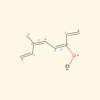 C=C/C(C)=C\C=C(/C=C)OCC